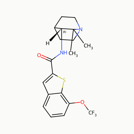 CC1(C)[C@H](NC(=O)c2cc3cccc(OC(F)(F)F)c3s2)C2CCN1CC2